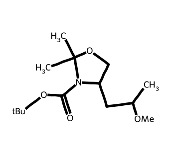 COC(C)CC1COC(C)(C)N1C(=O)OC(C)(C)C